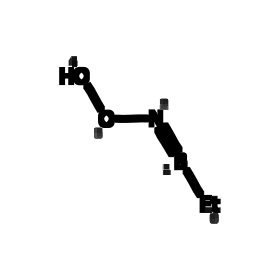 CC/B=N/OO